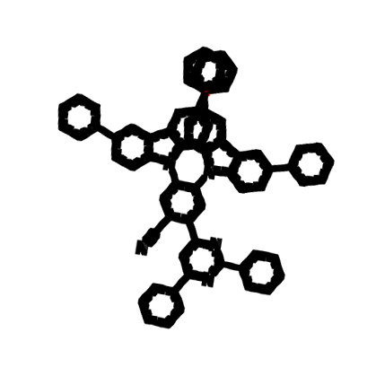 N#Cc1cc(-n2c3ccc(-c4ccccc4)cc3c3cc(-c4ccccc4)ccc32)c(-n2c3ccc(-c4ccccc4)cc3c3cc(-c4ccccc4)ccc32)cc1-c1cc(-c2ccccc2)nc(-c2ccccc2)n1